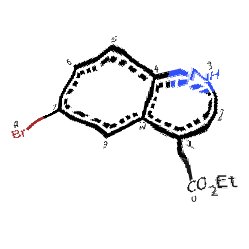 CCOC(=O)c1c[nH]c2ccc(Br)cc12